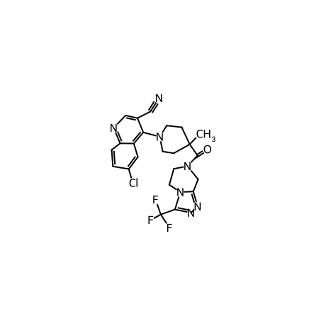 CC1(C(=O)N2CCn3c(nnc3C(F)(F)F)C2)CCN(c2c(C#N)cnc3ccc(Cl)cc23)CC1